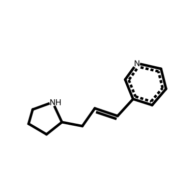 C(=C\c1cccnc1)/CC1CCCN1